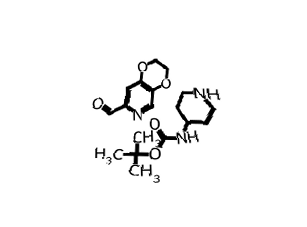 CC(C)(C)OC(=O)NC1CCNCC1.O=Cc1cc2c(cn1)OCCO2